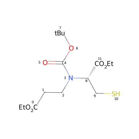 CCOC(=O)CCN(C(=O)OC(C)(C)C)[C@@H](CS)C(=O)OCC